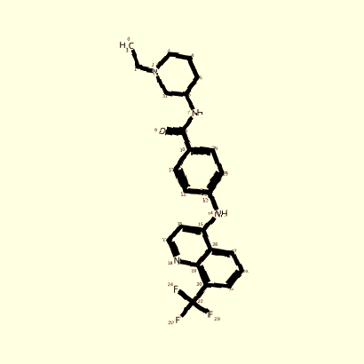 CCN1CCCC(NC(=O)c2ccc(Nc3ccnc4c(C(F)(F)F)cccc34)cc2)C1